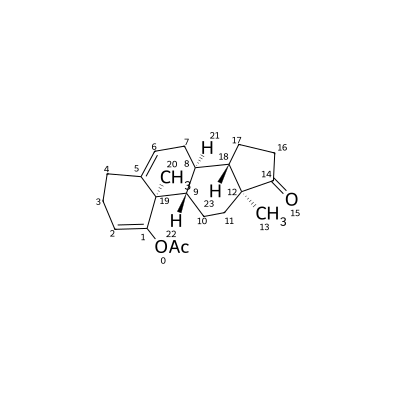 CC(=O)OC1=CCCC2=CC[C@@H]3[C@H](CC[C@]4(C)C(=O)CC[C@@H]34)[C@]21C